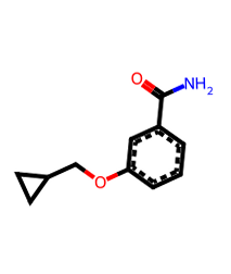 NC(=O)c1cccc(OCC2CC2)c1